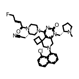 CN1CCC[C@H]1Cn1c2c(c(N3CCN(C(=O)/C=C/CF)[C@@H](CC#N)C3)nc1=O)C1(CCC1)CN(c1cccc3cccc(Cl)c13)C2